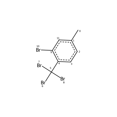 Cc1ccc(C(Br)(Br)Br)c(Br)c1